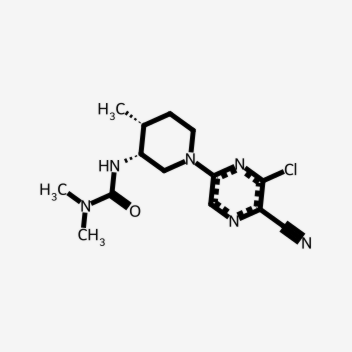 C[C@@H]1CCN(c2cnc(C#N)c(Cl)n2)C[C@@H]1NC(=O)N(C)C